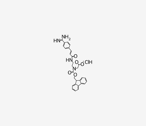 COC(=O)CN(CCNC(=O)C=Cc1ccc(C(=N)N)cc1)C(=O)OCC1c2ccccc2-c2ccccc21.Cl